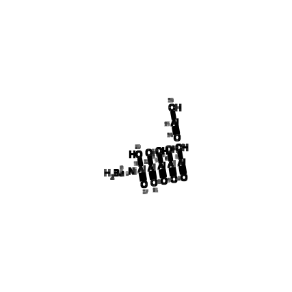 [BaH2].[Ni].[O]=[Al][OH].[O]=[Al][OH].[O]=[Al][OH].[O]=[Al][OH].[O]=[Al][OH].[O]=[Al][OH]